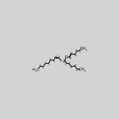 [CH2]CCCCCC/C=C\C[C@@H](CCCCCC)OC=CCCCC